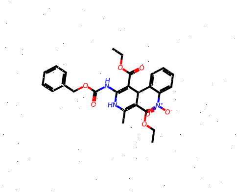 CCOC(=O)C1=C(C)NC(NC(=O)OCc2ccccc2)=C(C(=O)OCC)C1c1ccccc1[N+](=O)[O-]